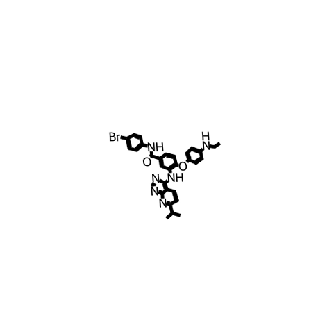 CCNc1ccc(Oc2ccc(C(=O)Nc3ccc(Br)cc3)cc2Nc2ncnc3nc(C(C)C)ccc23)cc1